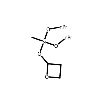 CCCO[Si](C)(OCCC)OC1CCO1